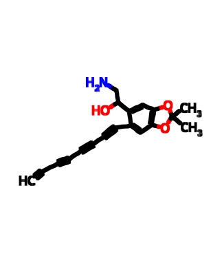 C#CC#CC#CC#Cc1cc2c(cc1C(O)CN)OC(C)(C)O2